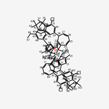 CCc1cc(C2C=CC=CC3=C2C=C(C)[C]32[SiH](C)[C]3(C(C)=CC4=C3C=CC=CC4c3cc(Cl)c(C(C)(C)C)c(CC)c3)[Hf]23([Cl])([Cl])[C]2(C(C)=CC4=C2C=CC=CC4c2cc(Cl)c(C(C)(C)C)c(CC)c2)[SiH](C)[C]32C(C)=CC3=C2C=CC=CC3c2cc(Cl)c(C(C)(C)C)c(CC)c2)cc(Cl)c1C(C)(C)C